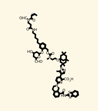 C/C=C\C(=O)N(C=O)CCC(=O)NCCCCCc1ccc(COC(=O)N(C)CCOC23CC(C)(C)CC(C)(CC(C)(Cn4ncc(-c5ccc(N6CCc7cccc(C(=O)Nc8nc9ccccc9s8)c7C6)nc5C(=O)O)c4C)C2)C3)c(OC2CC(O)CC(C=O)O2)c1